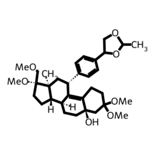 COC[C@]1(OC)CC[C@H]2[C@@H]3CC[C@@]4(O)CC(OC)(OC)CCC4=C3[C@@H](c3ccc(C4COC(C)O4)cc3)C[C@@]21C